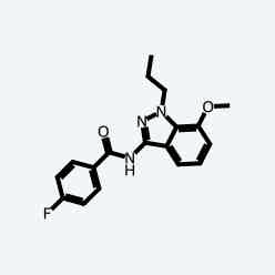 CCCn1nc(NC(=O)c2ccc(F)cc2)c2cccc(OC)c21